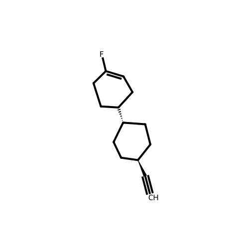 C#C[C@H]1CC[C@H](C2CC=C(F)CC2)CC1